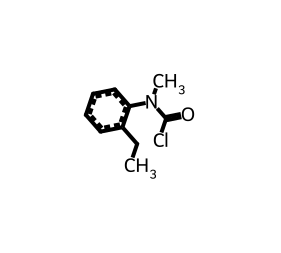 CCc1ccccc1N(C)C(=O)Cl